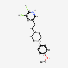 CCCOc1ccc([C@H]2CC[C@H](CCc3cnc(F)c(F)c3)CC2)cc1